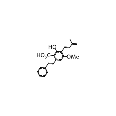 C=C(C)C=Cc1c(OC)cc(C=Cc2ccccc2)c(C(=O)O)c1O